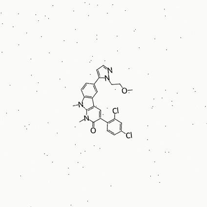 COCCn1nccc1-c1ccc2c(c1)c1cc(-c3ccc(Cl)cc3Cl)c(=O)n(C)c1n2C